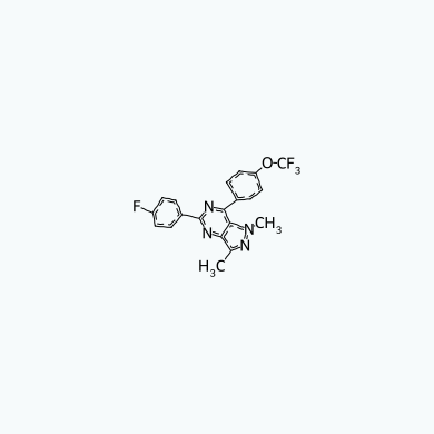 Cc1nn(C)c2c(-c3ccc(OC(F)(F)F)cc3)nc(-c3ccc(F)cc3)nc12